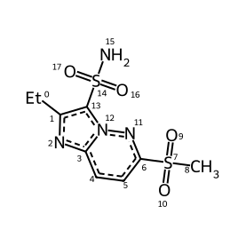 CCc1nc2ccc(S(C)(=O)=O)nn2c1S(N)(=O)=O